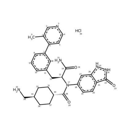 Cc1cnccc1-c1cccc(C[C@@H](C(N)=O)N(c2ccc3c(=O)[nH][nH]c3c2)C(=O)[C@H]2CC[C@H](CN)CC2)c1.Cl